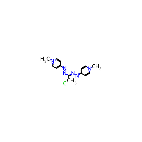 CC(N=Nc1cc[n+](C)cc1)=NN=c1ccn(C)cc1.[Cl-]